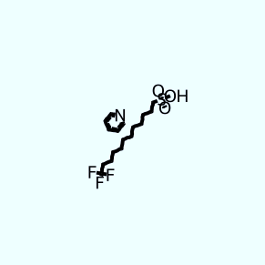 O=S(=O)(O)CCCCCCCCCCCC(F)(F)F.c1ccncc1